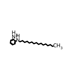 CCCCCCCCCCCCCCCCNc1ccccc1N